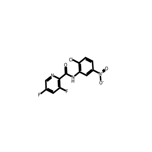 O=C(Nc1cc([N+](=O)[O-])ccc1Cl)c1ncc(F)cc1F